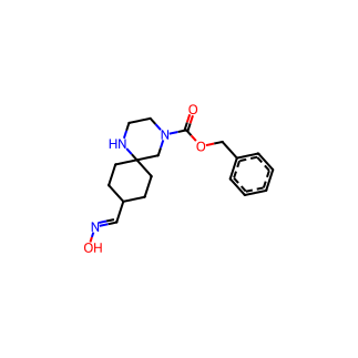 O=C(OCc1ccccc1)N1CCNC2(CCC(C=NO)CC2)C1